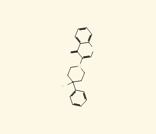 O=c1c(N2CCC(O)(c3ccccc3)CC2)coc2ccccc12